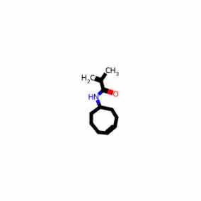 C=C(C)C(=O)NC1CC/C=C\CCC1